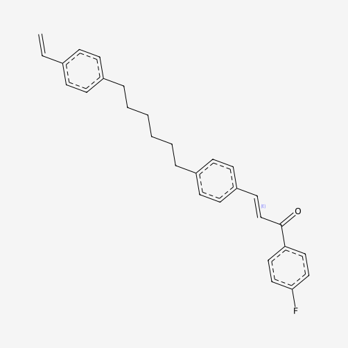 C=Cc1ccc(CCCCCCc2ccc(/C=C/C(=O)c3ccc(F)cc3)cc2)cc1